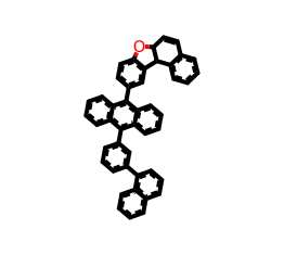 C1=CC2Oc3ccc(-c4c5ccccc5c(-c5cccc(-c6cccc7ccccc67)c5)c5ccccc45)cc3C2c2ccccc21